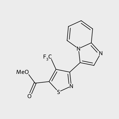 COC(=O)c1snc(-c2cnc3ccccn23)c1C(F)(F)F